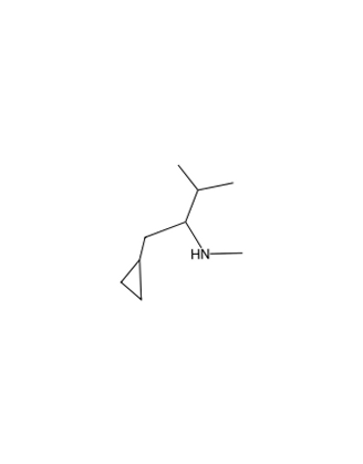 CNC(CC1CC1)C(C)C